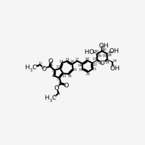 CCOC(=O)c1cc(C(=O)OCC)c2ccc(Cc3cccc([C@@H]4O[C@H](CO)[C@@H](O)[C@H](O)[C@H]4O)c3)ccc1-2